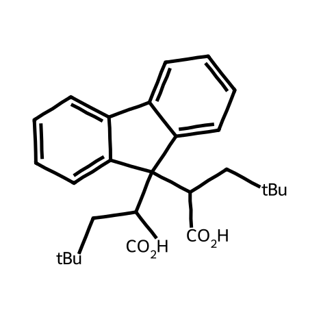 CC(C)(C)CC(C(=O)O)C1(C(CC(C)(C)C)C(=O)O)c2ccccc2-c2ccccc21